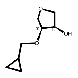 O[C@@H]1COC[C@@H]1OCC1CC1